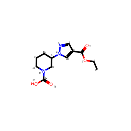 CCOC(=O)c1cnn(C2CCCN(C(=O)O)C2)c1